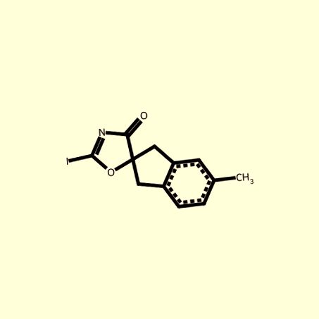 Cc1ccc2c(c1)CC1(C2)OC(I)=NC1=O